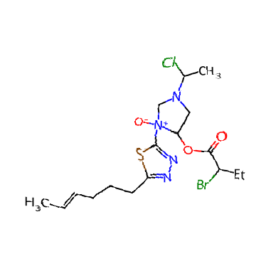 CC=CCCCc1nnc([N+]2([O-])CN(C(C)Cl)CC2OC(=O)C(Br)CC)s1